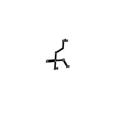 CCCCCSP(=O)(S)OCC